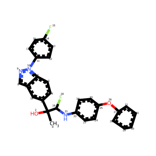 CC(O)(c1ccc2c(cnn2-c2ccc(F)cc2)c1)C(F)Nc1ccc(Oc2ccccc2)cc1